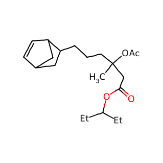 CCC(CC)OC(=O)CC(C)(CCCC1CC2C=CC1C2)OC(C)=O